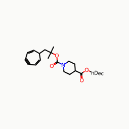 CCCCCCCCCCOC(=O)C1CCN(C(=O)OC(C)(C)CC2C=CC#CC=C2)CC1